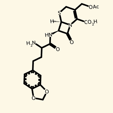 CC(=O)OCC1=C(C(=O)O)N2C(=O)[C@@H](NC(=O)C(N)CCc3ccc4c(c3)OCO4)[C@H]2SC1